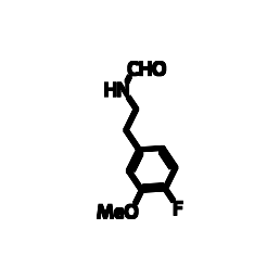 COc1cc(CCNC=O)ccc1F